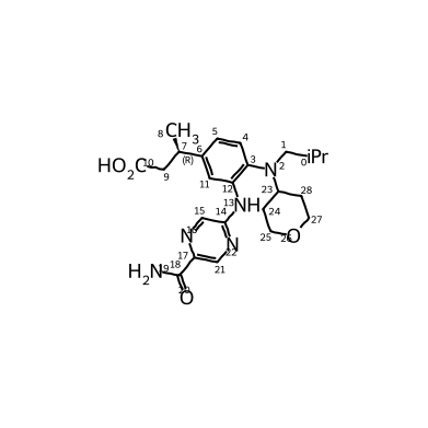 CC(C)CN(c1ccc([C@H](C)CC(=O)O)cc1Nc1cnc(C(N)=O)cn1)C1CCOCC1